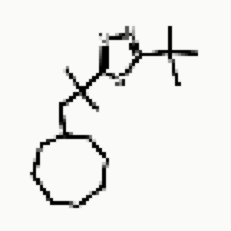 CC(C)(C)c1nnc(C(C)(C)CC2CCCCCCC2)s1